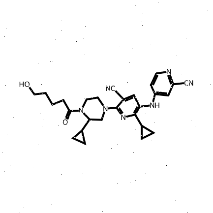 N#Cc1cc(Nc2cc(C#N)c(N3CCN(C(=O)CCCCO)C(C4CC4)C3)nc2C2CC2)ccn1